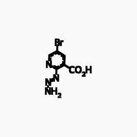 NN=Nc1ncc(Br)cc1C(=O)O